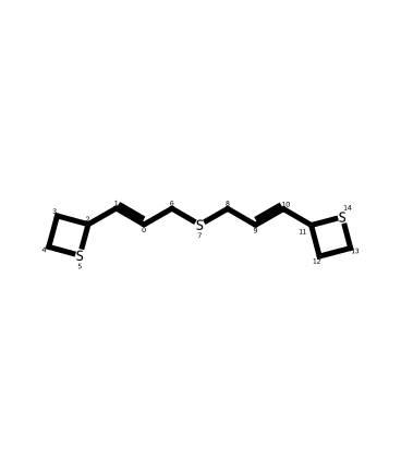 C(=CC1CCS1)CSCC=CC1CCS1